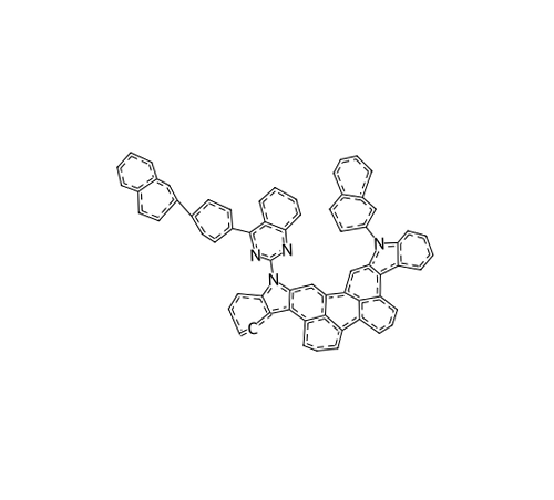 c1ccc2cc(-c3ccc(-c4nc(-n5c6ccccc6c6c7cccc8c9cccc%10c9c(cc9c%10c%10ccccc%10n9-c9ccc%10ccccc%10c9)c(cc65)c87)nc5ccccc45)cc3)ccc2c1